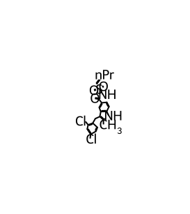 CCC/C=C/S(=O)(=O)NC(=O)c1ccc2[nH]c(C)c(Cc3ccc(Cl)cc3Cl)c2c1